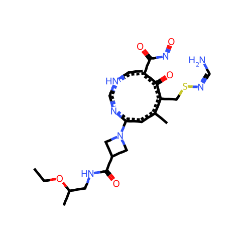 CCOC(C)CNC(=O)C1CN(c2cc(C)c(CS/N=C\N)c(=O)c(C(=O)N=O)c[nH]cn2)C1